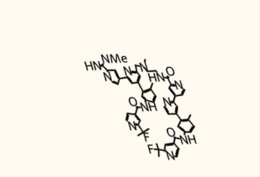 CNC(=N)c1cc(-c2cc(-c3cc(NC(=O)c4ccnc(C(C)(C)F)c4)ccc3C)cc(CN(C)CCNC(=O)c3cc(-c4cc(-c5cc(NC(=O)c6ccnc(C(C)(C)F)c6)ccc5C)ccn4)ccn3)n2)ccn1